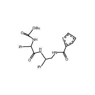 CC(C)COC(=O)NC(C(=O)NC(CNC(=O)c1cccs1)C(C)C)C(C)C